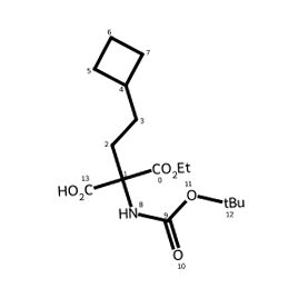 CCOC(=O)C(CCC1CCC1)(NC(=O)OC(C)(C)C)C(=O)O